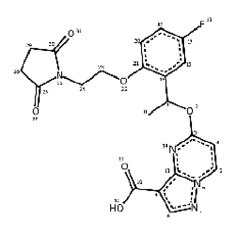 CC(Oc1ccn2ncc(C(=O)O)c2n1)c1cc(F)ccc1OCCN1C(=O)CCC1=O